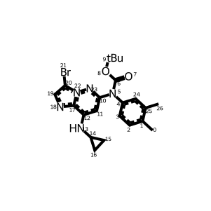 Cc1ccc(N(C(=O)OC(C)(C)C)c2cc(NC3CC3)c3ncc(Br)n3n2)cc1C